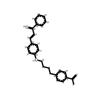 C=C(C)c1ccc(CCCCOc2ccc(C=CC(=O)c3ccccc3)cc2)cc1